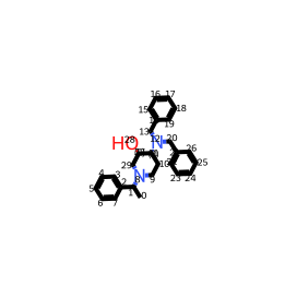 CC(c1ccccc1)N1CC[C@@H](N(Cc2ccccc2)Cc2ccccc2)[C@H](O)C1